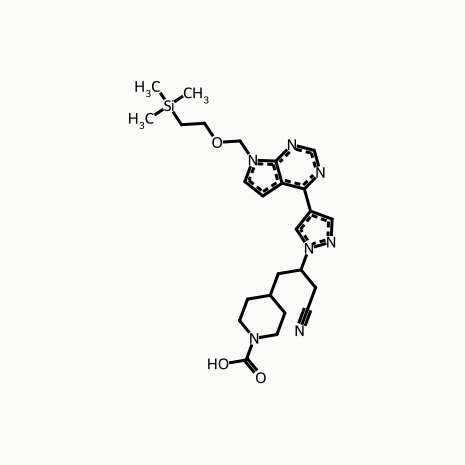 C[Si](C)(C)CCOCn1ccc2c(-c3cnn(C(CC#N)CC4CCN(C(=O)O)CC4)c3)ncnc21